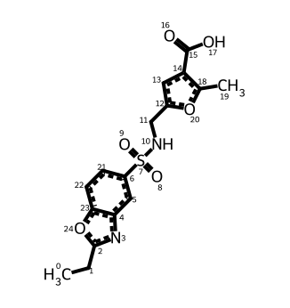 CCc1nc2cc(S(=O)(=O)NCc3cc(C(=O)O)c(C)o3)ccc2o1